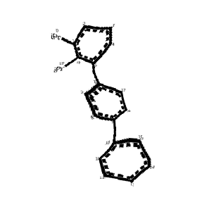 CC(C)c1cccc(-c2ccc(-c3ccccc3)cc2)c1C(C)C